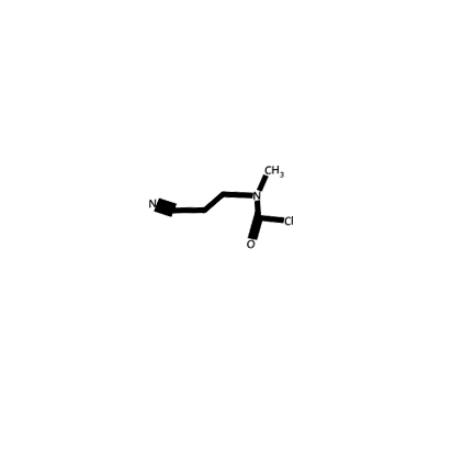 CN(CCC#N)C(=O)Cl